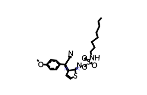 CCCCCCCCNS(=O)(=O)O/N=C1\SC=C\C1=C(\C#N)c1ccc(OC)cc1